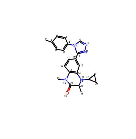 Cc1ccc(-n2cnnc2-c2ccc3c(c2)N(C2CC2)C(C)C(=O)N3C)cc1